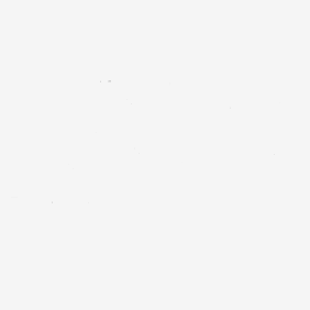 C=C(C)C(=O)Oc1csc(Sc2scc(OC(=O)C(=C)C)c2CC(C)O)c1CC(C)O